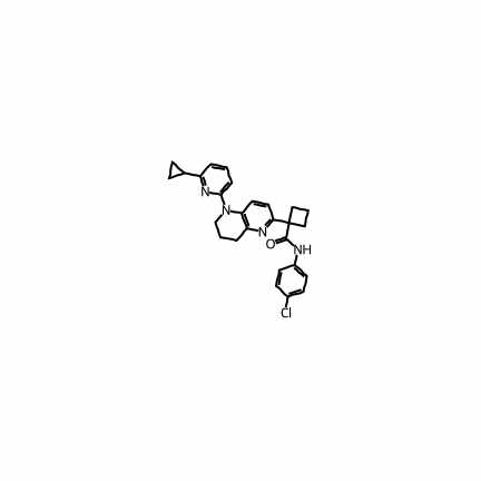 O=C(Nc1ccc(Cl)cc1)C1(c2ccc3c(n2)CCCN3c2cccc(C3CC3)n2)CCC1